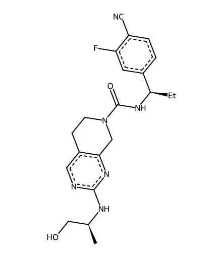 CC[C@@H](NC(=O)N1CCc2cnc(N[C@@H](C)CO)nc2C1)c1ccc(C#N)c(F)c1